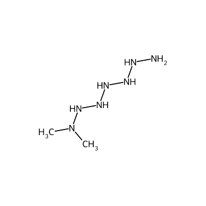 CN(C)NNNNNN